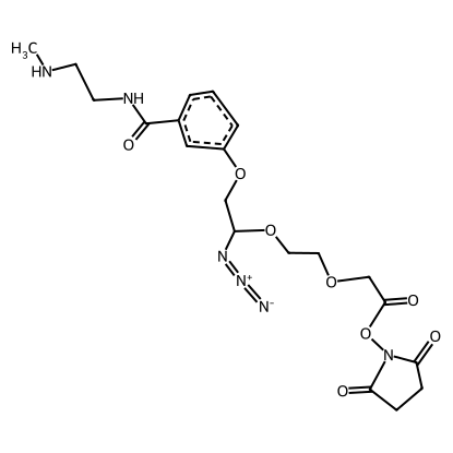 CNCCNC(=O)c1cccc(OCC(N=[N+]=[N-])OCCOCC(=O)ON2C(=O)CCC2=O)c1